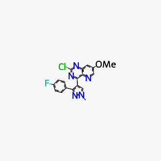 COc1cnc2c(-c3cn(C)nc3-c3ccc(F)cc3)nc(Cl)nc2c1